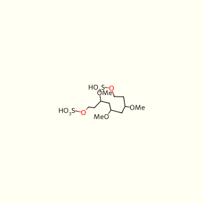 COC(CCOS(=O)(=O)O)CC(CC(CCOS(=O)(=O)O)OC)OC